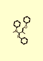 CC(=C\Oc1ccccc1)/C(=N\c1ccccc1)N(C)c1ccccc1